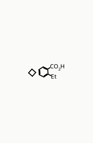 C1CCC1.CCc1ccccc1C(=O)O